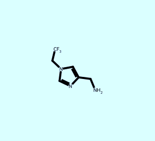 NCc1cn(CC(F)(F)F)cn1